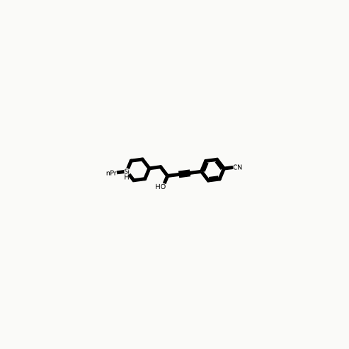 CCC[SiH]1CCC(CC(O)C#Cc2ccc(C#N)cc2)CC1